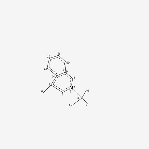 Cc1c[n+](C(C)(C)C)cc2ccccc12